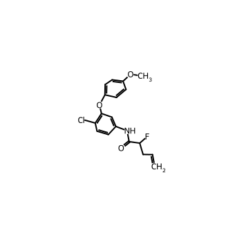 C=CCC(F)C(=O)Nc1ccc(Cl)c(Oc2ccc(OC)cc2)c1